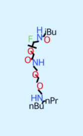 CCCCC(CCC)NCCOCCOCCNC(=O)COC(C)(C)C(F)CNC(=O)C(C)CC